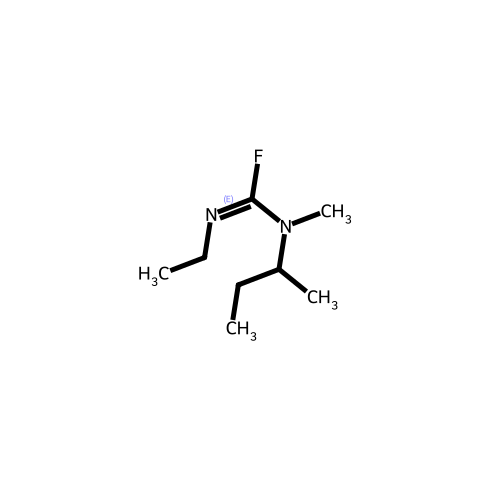 CC/N=C(/F)N(C)C(C)CC